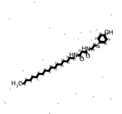 CCCCCCCCCCCCCCCCCCNC(=O)CC(=O)NCCSc1ccc(O)cc1